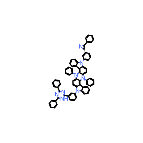 c1ccc(C2=NC(c3ccccc3)NC(c3cccc(-n4c5ccccc5c5c6c(ccc54)N(c4ccccc4)c4c(ccc5c4c4ccccc4n5-c4cccc([C@@H]5N=C5c5ccccc5)c4)N6c4ccccc4)c3)=N2)cc1